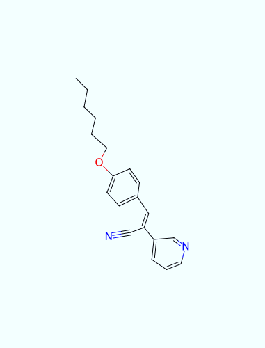 CCCCCCOc1ccc(C=C(C#N)c2cccnc2)cc1